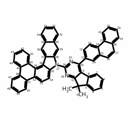 CC1(C)c2ccccc2-c2c(-c3ccc4c(ccc5ccccc54)c3)nc(-n3c4cc5ccccc5cc4c4c5c6ccccc6c6ccccc6c5ccc43)nc21